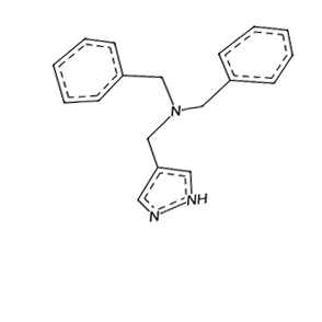 c1ccc(CN(Cc2ccccc2)Cc2cn[nH]c2)cc1